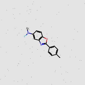 CC(=O)N(F)c1ccc2oc(-c3ccc(C)cc3)nc2c1